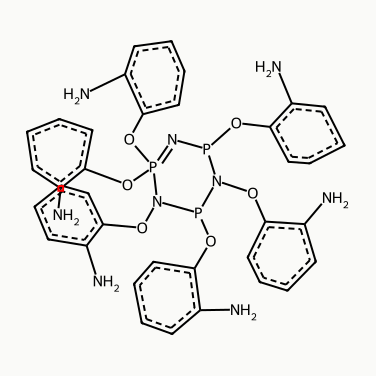 Nc1ccccc1ON1P(Oc2ccccc2N)N=P(Oc2ccccc2N)(Oc2ccccc2N)N(Oc2ccccc2N)P1Oc1ccccc1N